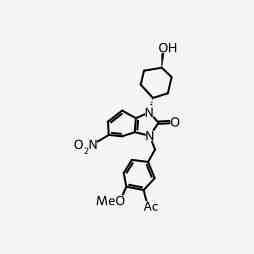 COc1ccc(Cn2c(=O)n([C@H]3CC[C@H](O)CC3)c3ccc([N+](=O)[O-])cc32)cc1C(C)=O